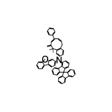 C=C1/C=C(c2ccccc2)\C=C/Cc2ccc(N(c3ccc4c(c3)oc3ccccc34)c3cccc4c3-c3ccccc3C43c4ccccc4-c4ccccc43)cc2C1(C)C